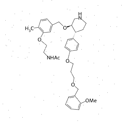 COc1ccccc1COCCCOc1ccc([C@H]2CCNC[C@@H]2OCc2ccc(C)c(OCCNC(C)=O)c2)cc1